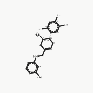 CC(=O)c1cccc(NCC2=CC[C@@H](c3cc(F)c(F)cc3F)[C@H](N)C2)c1